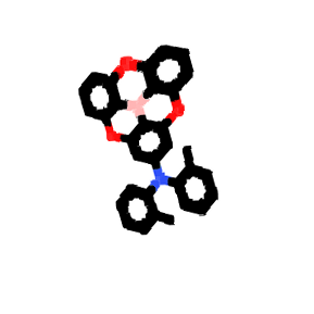 Cc1ccccc1N(c1cc2c3c(c1)Oc1cccc4c1B3c1c(cccc1O2)O4)c1ccccc1C